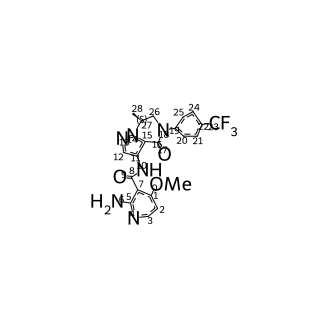 COc1ccnc(N)c1C(=O)Nc1cnn2c1C(=O)N(c1ccc(C(F)(F)F)cc1)C[C@@H]2C